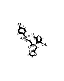 Cc1ccc(S(=O)(=O)OCC(=O)N(CC2OCCO2)c2c(C)csc2C)cc1